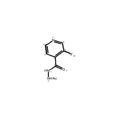 CC(=O)NNC(=O)c1ccncc1F